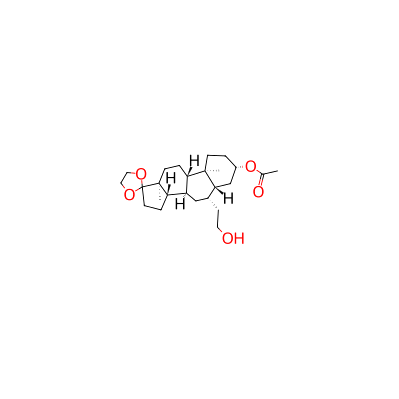 CC(=O)O[C@H]1CC[C@@]2(C)[C@H](C1)[C@H](CCO)C[C@@H]1[C@@H]2CC[C@@]2(C)[C@H]1CCC21OCCO1